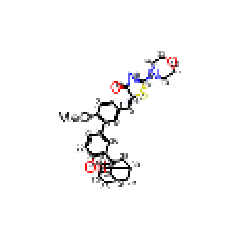 COc1ccc(/C=C2/SC(N3CCOCC3)=NC2=O)cc1-c1ccc(O)c(C23CC4CC(CC(C4)C2)C3)c1